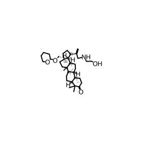 C=C(CNCCO)[C@@H]1CC[C@]2(COC3CCCCO3)CC[C@]3(C)[C@H](CC[C@@H]4[C@@]5(C)CCC(=O)C(C)(C)[C@@H]5CC[C@]43C)[C@@H]12